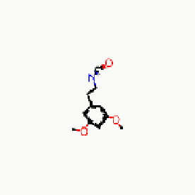 COc1cc(CCN=C=O)cc(OC)c1